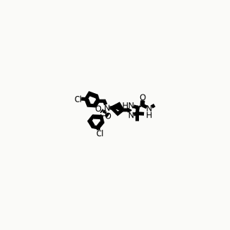 CNC(=O)[C@@H]1NC(C23CC(N(Cc4ccc(Cl)cc4)S(=O)(=O)c4cccc(Cl)c4)(C2)C3)=NC1(C)C